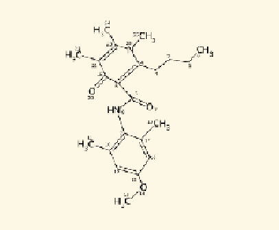 CCCCc1c(C(=O)Nc2c(C)cc(OC)cc2C)c(=O)c(C)c(C)n1C